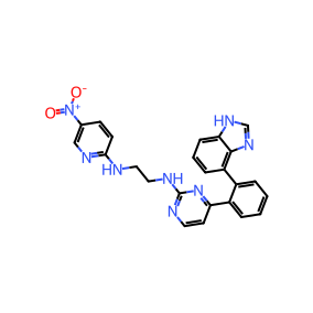 O=[N+]([O-])c1ccc(NCCNc2nccc(-c3ccccc3-c3cccc4[nH]cnc34)n2)nc1